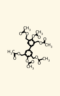 CC(=O)OCc1cc(-c2cc(COC(C)=O)c(OC(C)=O)c(COC(C)=O)c2)cc(COC(C)=O)c1OC(C)=O